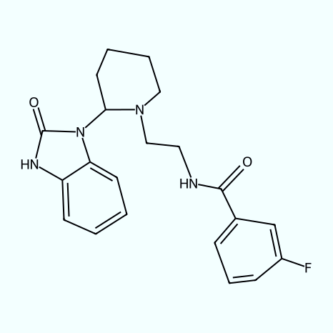 O=C(NCCN1CCCCC1n1c(=O)[nH]c2ccccc21)c1cccc(F)c1